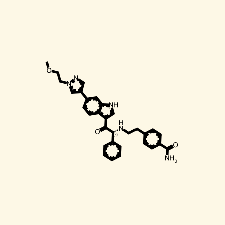 COCCn1cc(-c2ccc3c(C(=O)[C@H](NCCc4ccc(C(N)=O)cc4)c4ccccc4)c[nH]c3c2)cn1